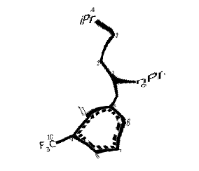 CC[CH]C(CCC(C)C)c1cccc(C(F)(F)F)c1